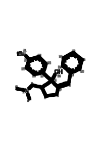 CN(C)CC1CCC(=Cc2ccccc2)C1(O)c1ccc(C(C)(C)C)cc1